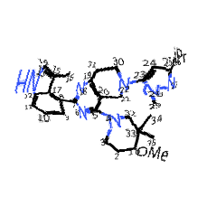 COC1CCN(c2nc(-c3cccc4[nH]cc(C)c34)nc3c2CN(c2cc(C(C)C)nn2C)CC3)CC1(C)C